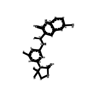 Cc1nc(N[C@@H](C)c2cc3cc(Cl)ccc3[nH]c2=O)nc(N2C(=O)OCC2(C)C)n1